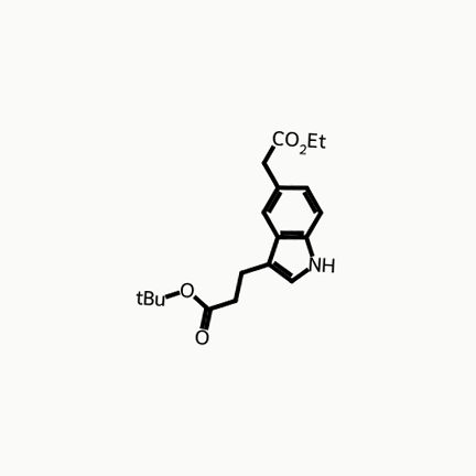 CCOC(=O)Cc1ccc2[nH]cc(CCC(=O)OC(C)(C)C)c2c1